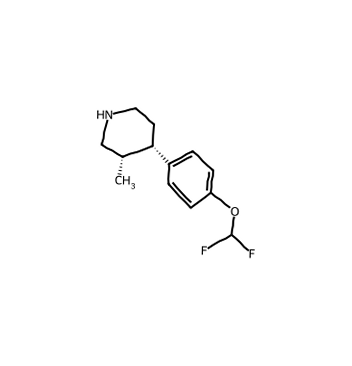 C[C@@H]1CNCC[C@@H]1c1ccc(OC(F)F)cc1